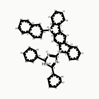 c1ccc(C2=NC(n3c4ccccc4c4cc5c6ccccc6n(-c6ccc7ccccc7c6)c5cc43)=NC(c3ccccc3)N2)cc1